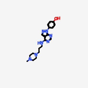 CN1CCN(CCCNc2ncnc3c2cnn3-c2ccc(O)cc2)CC1